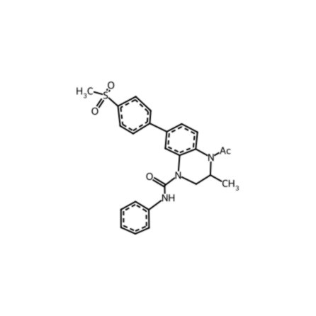 CC(=O)N1c2ccc(-c3ccc(S(C)(=O)=O)cc3)cc2N(C(=O)Nc2ccccc2)CC1C